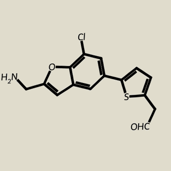 NCc1cc2cc(-c3ccc(CC=O)s3)cc(Cl)c2o1